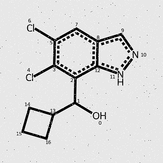 OC(c1c(Cl)c(Cl)cc2cn[nH]c12)C1CCC1